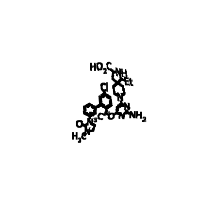 CCC1NC(C(=O)O)CC12CCN(c1cc(O[C@H](c3ccc(Cl)cc3-c3cccc(N4CCN(C)C4=O)c3)C(F)(F)F)nc(N)n1)CC2